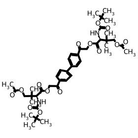 CC(=O)OCC(C)(C)[C@H](NC(=O)OC(C)(C)C)C(=O)OCC(=O)c1ccc(-c2ccc(C(=O)COC(=O)[C@@H](NC(=O)OC(C)(C)C)C(C)(C)COC(C)=O)cc2)cc1